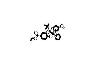 CCOC(=O)[C@H]1CC[C@H](OC(C(=O)OC(C)(C)C)(N2CCCC2)N2CC[C@@H](OC)C2)CC1